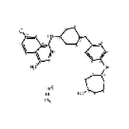 Cc1nnc(NC2CCN(Cc3ccc(OC4CCCN(C)CC4)cc3)CC2)c2cc(Cl)ccc12.Cl.Cl.Cl